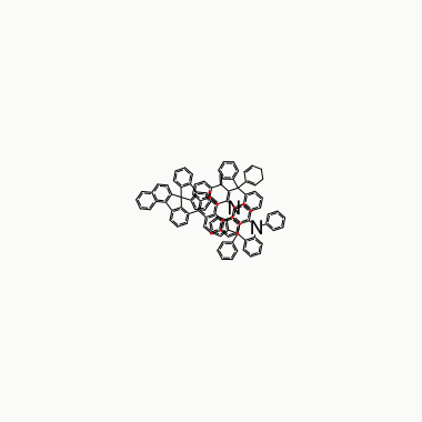 C=C(C1=C(/C=C\C)N(c2ccccc2)c2ccccc2C1(C1=CCCC=C1)c1ccccc1)c1cccc2c(-c3cccc4c3C3(c5ccccc5-c5ccccc53)c3ccc5ccccc5c3-4)c3cccc(-c4cccc5c4C(c4ccccc4)(c4ccccc4)c4ccccc4N5c4ccccc4)c3cc12